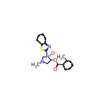 Cc1ccccc1C(=O)OC1CN(C)C[N+]1([O-])c1nc2ccccc2s1